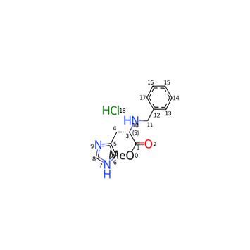 COC(=O)[C@H](Cc1c[nH]cn1)NCc1ccccc1.Cl